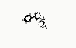 CCS(=O)(=O)NCC(N)c1ccccc1